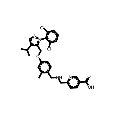 Cc1cc(OCc2c(C(C)C)cnn2-c2c(Cl)cccc2Cl)ccc1CNCc1ccc(C(=O)O)cn1